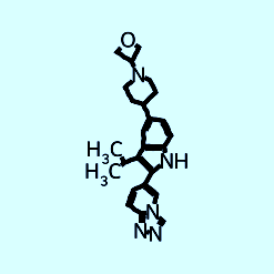 CC(C)c1c(-c2ccc3nncn3c2)[nH]c2ccc(C3CCN(C4COC4)CC3)cc12